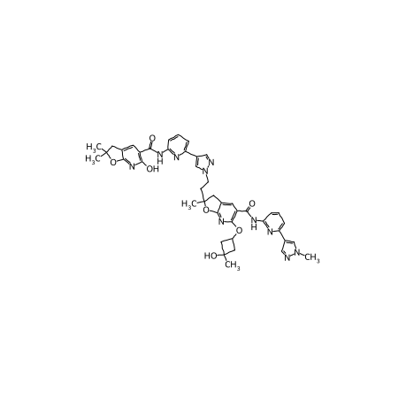 Cn1cc(-c2cccc(NC(=O)c3cc4c(nc3OC3CC(C)(O)C3)OC(C)(CCn3cc(-c5cccc(NC(=O)c6cc7c(nc6O)OC(C)(C)C7)n5)cn3)C4)n2)cn1